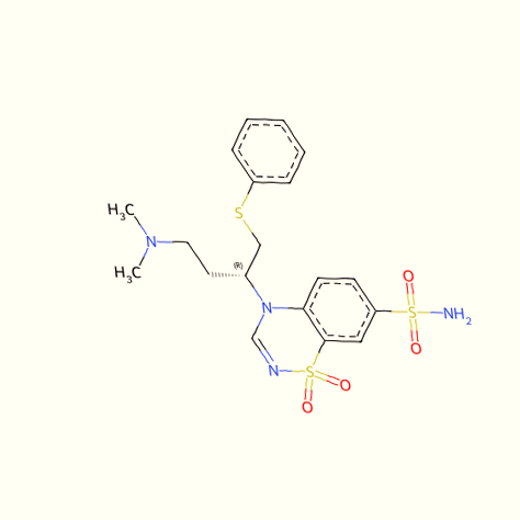 CN(C)CC[C@H](CSc1ccccc1)N1C=NS(=O)(=O)c2cc(S(N)(=O)=O)ccc21